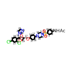 CC(=O)Nc1ccc(S(=O)(=O)N2CCN(c3ccc(OC[C@@H]4CO[C@@](Cn5ccnc5)(c5ccc(Cl)cc5Cl)O4)cc3)CC2)cc1